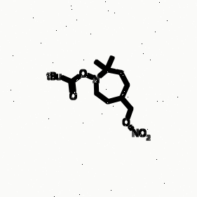 CC(C)(C)C(=O)ON1CCC(CO[N+](=O)[O-])CCC1(C)C